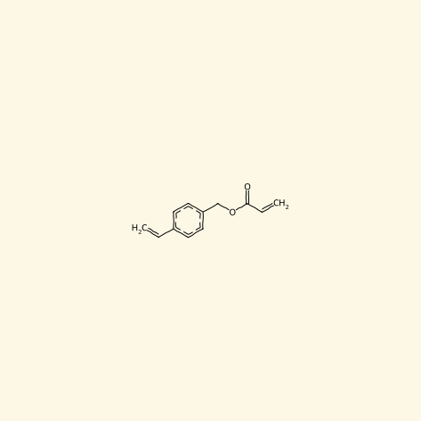 C=CC(=O)OCc1ccc(C=C)cc1